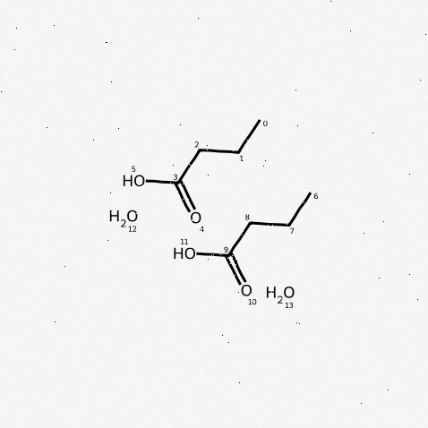 CCCC(=O)O.CCCC(=O)O.O.O